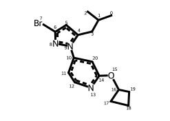 CC(C)Cc1cc(Br)nn1-c1ccnc(OC2CCC2)c1